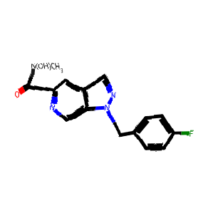 CN(O)C(=O)c1cc2cnn(Cc3ccc(F)cc3)c2cn1